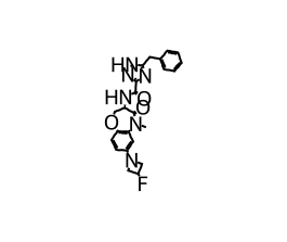 CN1C(=O)[C@H](NC(=O)c2n[nH]c(Cc3ccccc3)n2)COc2ccc(N3CC(F)C3)cc21